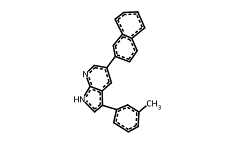 Cc1cccc(-c2c[nH]c3ncc(-c4ccc5ccccc5c4)cc23)c1